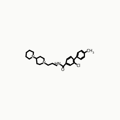 Cc1ccc(-c2ccc(C(=O)NCCCN3CCC(N4CCCCC4)CC3)cc2Cl)cc1